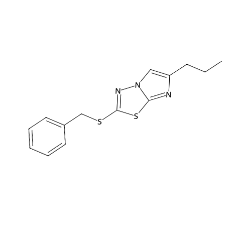 CCCc1cn2nc(SCc3ccccc3)sc2n1